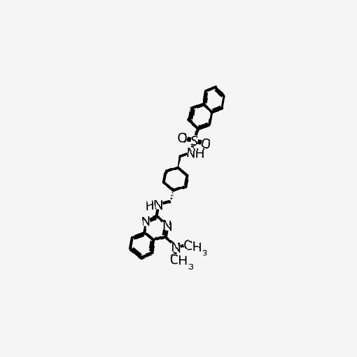 CN(C)c1nc(NC[C@H]2CC[C@H](CNS(=O)(=O)c3ccc4ccccc4c3)CC2)nc2ccccc12